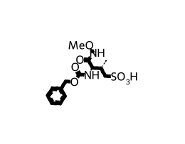 CONC(=O)[C@@H](NC(=O)OCc1ccccc1)[C@H](C)CS(=O)(=O)O